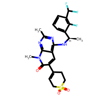 Cc1nc(N[C@H](C)c2cccc(C(F)F)c2F)c2cc(C3=CCS(=O)(=O)CC3)c(=O)n(C)c2n1